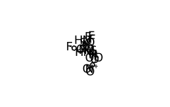 O=C(NC1C(=O)N2C(C(=O)OCc3ccc([N+](=O)[O-])cc3)=CCS[C@@H]12)C(=NOCc1ccc(F)cc1)c1csc(NC(=O)C(F)(F)F)n1